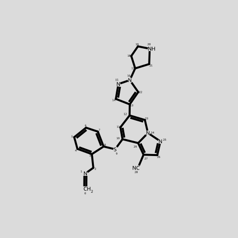 C=NCc1ccccc1Sc1cc(-c2cnn(C3CCNC3)c2)cn2ncc(C#N)c12